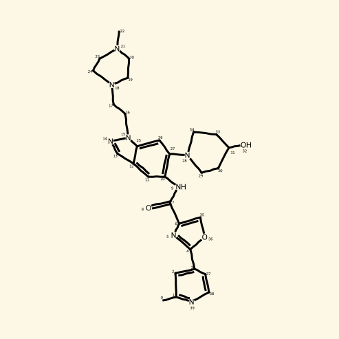 Cc1cc(-c2nc(C(=O)Nc3cc4cnn(CCN5CCN(C)CC5)c4cc3N3CCC(O)CC3)co2)ccn1